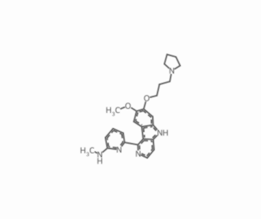 CNc1cccc(-c2nccc3[nH]c4cc(OCCCN5CCCC5)c(OC)cc4c23)n1